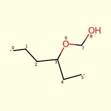 [CH2]CCC(C[CH2])OCO